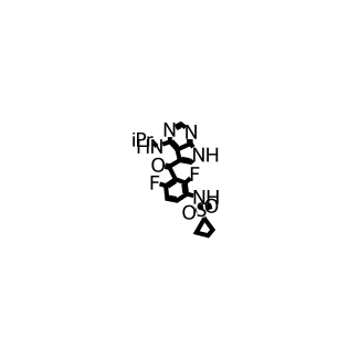 CC(C)Nc1ncnc2[nH]cc(C(=O)c3c(F)ccc(NS(=O)(=O)C4CCC4)c3F)c12